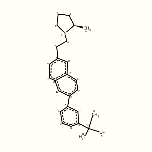 C[C@@H]1CCCN1CCc1ccc2cc(-c3cccc(C(C)(C)O)c3)ccc2c1